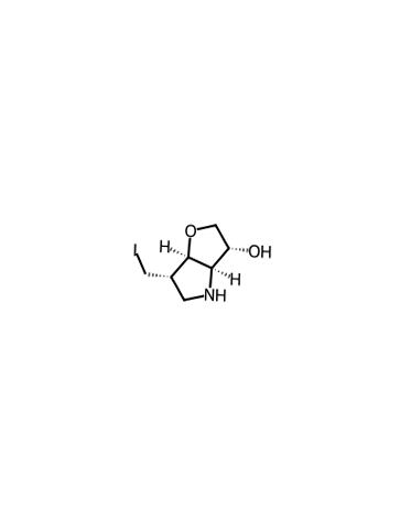 O[C@H]1CO[C@@H]2[C@@H](CI)CN[C@@H]21